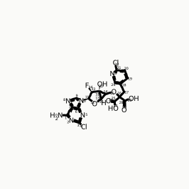 Nc1nc(Cl)nc2c1ncn2[C@@H]1O[C@@H]2C(OC(Cc3ccc(Cl)nc3)(C(=O)O)C(=O)O)[C@]2(O)[C@@H]1F